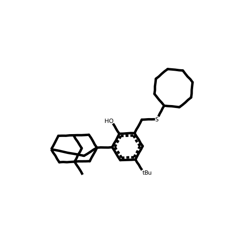 CC12CC3CC(C1)CC(c1cc(C(C)(C)C)cc(CSC4CCCCCCC4)c1O)(C3)C2